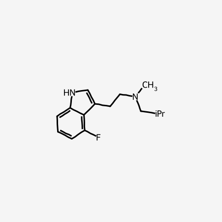 CC(C)CN(C)CCc1c[nH]c2cccc(F)c12